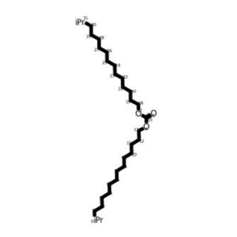 CC(C)CCCCCCCCCCCCCOC(=O)OCCCCCCCCCCCCCC(C)C